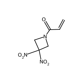 C=CC(=O)N1CC([N+](=O)[O-])([N+](=O)[O-])C1